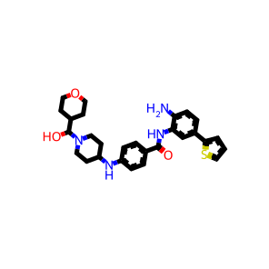 Nc1ccc(-c2cccs2)cc1NC(=O)c1ccc(NC2CCN(C(O)C3CCOCC3)CC2)cc1